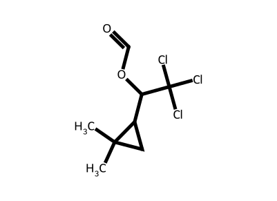 CC1(C)CC1C(OC=O)C(Cl)(Cl)Cl